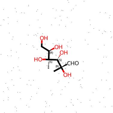 C[C@](O)([C@H](O)CO)[C@H](O)[C@@](C)(O)C=O